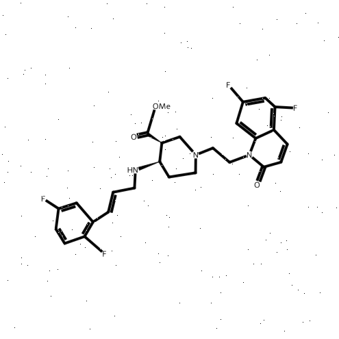 COC(=O)[C@H]1CN(CCn2c(=O)ccc3c(F)cc(F)cc32)CC[C@H]1NC/C=C/c1cc(F)ccc1F